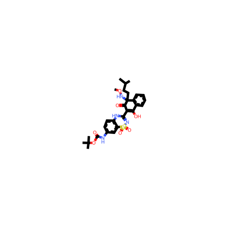 CONC1(CCC(C)C)C(=O)C(C2=NS(=O)(=O)c3cc(NC(=O)OC(C)(C)C)ccc3N2)=C(O)c2ccccc21